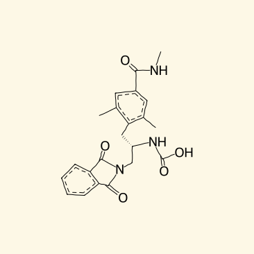 CNC(=O)c1cc(C)c(C[C@@H](CN2C(=O)c3ccccc3C2=O)NC(=O)O)c(C)c1